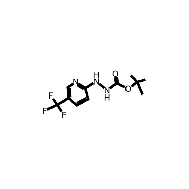 CC(C)(C)OC(=O)NNc1ccc(C(F)(F)F)cn1